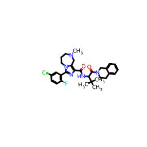 CN1CCCn2c(-c3cc(Cl)ccc3F)nc(C(=O)NC(C(=O)N3CCc4ccccc4C3)C(C)(C)C)c2C1